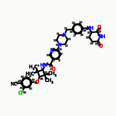 CC1(C)C(NC(=O)c2ccc(N3CCN(Cc4ccc(NC5CCC(=O)NC5=O)cc4)CC3)nc2)C(C)(C)C1Oc1ccc(C#N)c(Cl)c1